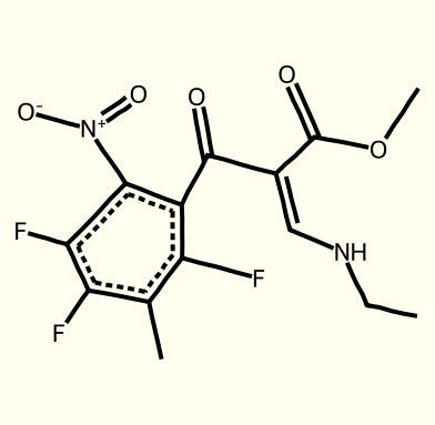 CCNC=C(C(=O)OC)C(=O)c1c(F)c(C)c(F)c(F)c1[N+](=O)[O-]